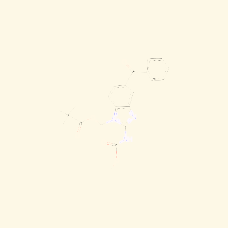 COC(=O)Nc1nc2cc(C(=O)c3ccccc3)ccc2n1COC(=O)C(C)(C)C